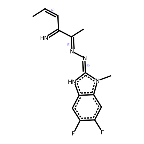 C/C=C\C(=N)/C(C)=N/N=c1\[nH]c2cc(F)c(F)cc2n1C